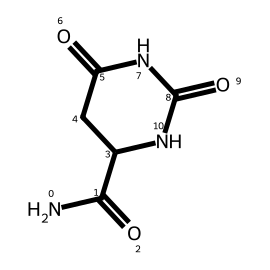 NC(=O)C1CC(=O)NC(=O)N1